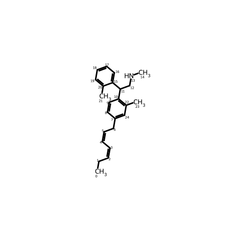 CC/C=C\C=C/Cc1ccc(C(CNC)c2ccccc2C)c(C)c1